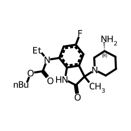 CCCCOC(=O)N(CC)c1cc(F)cc2c1NC(=O)C2(C)N1CCC[C@@H](N)C1